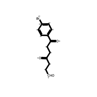 O=CCCC(=O)CCC(=O)c1ccc(Br)cc1